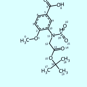 COc1ccc(C(=O)O)cc1N(CC(=O)OC(C)(C)C)[SH](=O)=O